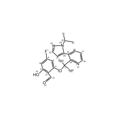 [2H]C([2H])(Oc1cc(F)cc(O)c1C=O)c1ncccc1-c1ccnn1C(C)C